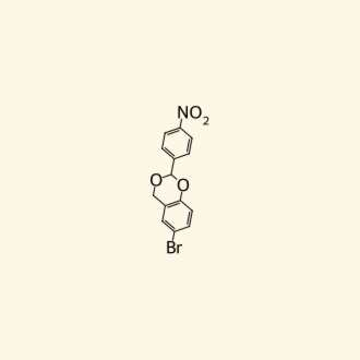 O=[N+]([O-])c1ccc(C2OCc3cc(Br)ccc3O2)cc1